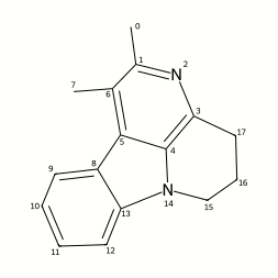 Cc1nc2c3c(c1C)c1ccccc1n3CCC2